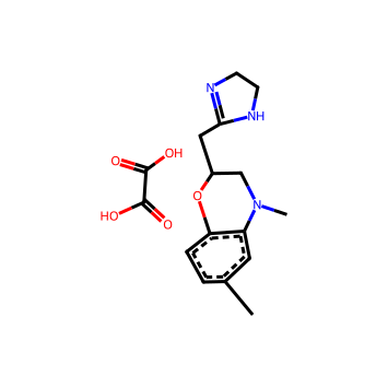 Cc1ccc2c(c1)N(C)CC(CC1=NCCN1)O2.O=C(O)C(=O)O